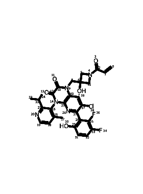 C=CC(=O)N1CC(O)(Cn2c(=O)c(=O)n(-c3c(C)ccnc3C(C)C)c3nc(-c4c(O)ccc(F)c4F)c(Cl)cc32)C1